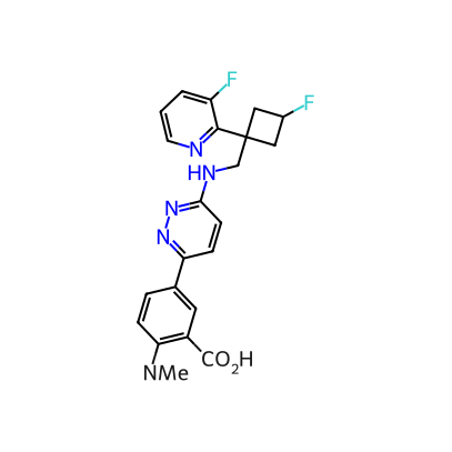 CNc1ccc(-c2ccc(NCC3(c4ncccc4F)CC(F)C3)nn2)cc1C(=O)O